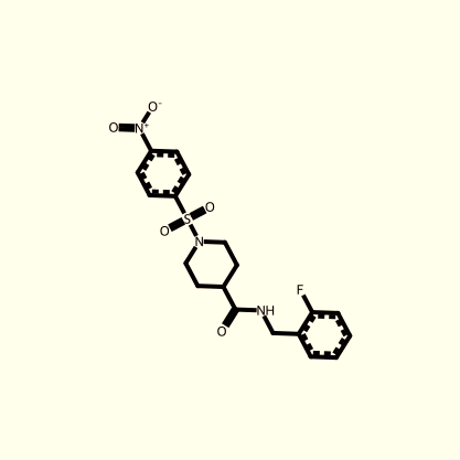 O=C(NCc1ccccc1F)C1CCN(S(=O)(=O)c2ccc([N+](=O)[O-])cc2)CC1